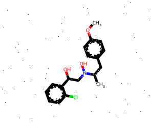 COc1ccc(CC(C)N(O)CC(O)c2ccccc2Cl)cc1